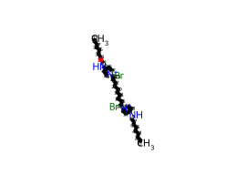 CCCCCCCCCNc1cc[n+](C(Br)CCCCCCCCC(Br)[n+]2ccc(NCCCCCCCCC)cc2)cc1